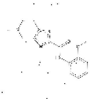 COc1ccccc1NC(=O)c1nc2c(s1)CCN(C)C2